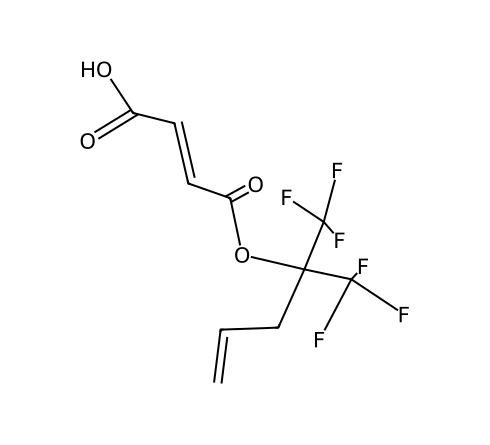 C=CCC(OC(=O)C=CC(=O)O)(C(F)(F)F)C(F)(F)F